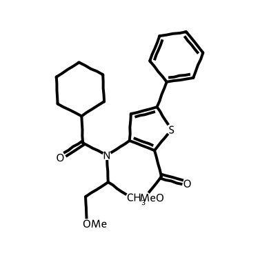 COCC(C)N(C(=O)C1CCCCC1)c1cc(-c2ccccc2)sc1C(=O)OC